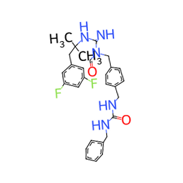 CC(C)(Cc1cc(F)cc(F)c1)NC(=N)N(C=O)Cc1ccc(CNC(=O)NCc2ccccc2)cc1